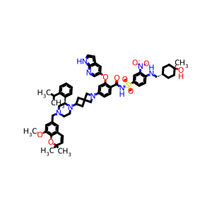 COc1cc(CN2CCN(C3CC4(C3)CN(c3ccc(C(=O)NS(=O)(=O)c5ccc(NC[C@H]6CC[C@](C)(O)CC6)c([N+](=O)[O-])c5)c(Oc5cnc6[nH]ccc6c5)c3)C4)[C@H](c3ccccc3C(C)C)C2)cc2c1OC(C)(C)C=C2